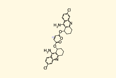 Nc1c2c(nc3cc(Cl)ccc13)CCCC2OC(=O)/C=C\C(=O)OC1CCCc2nc3cc(Cl)ccc3c(N)c21